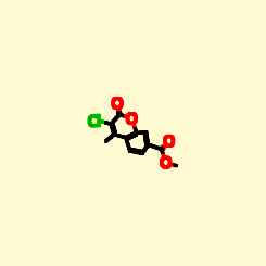 COC(=O)c1ccc2c(C)c(Cl)c(=O)oc2c1